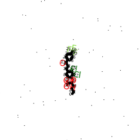 CCCCC(Oc1ccc(C=CC(=O)c2ccc(C(F)(F)F)cc2)c(Cl)c1Cl)C(=O)O